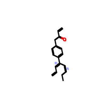 C=C/C=C(\C=C/CC)c1ccc(CC(=O)C=C)cc1